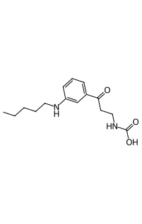 CCCCCNc1cccc(C(=O)CCNC(=O)O)c1